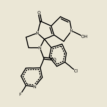 O=C1C2=C(CN(O)C=C2)C2(c3ccc(Cl)cc3)N1CCN2C(=O)c1ccc(F)nc1